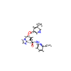 Cc1cncc(Oc2cc(C(=O)Nc3cccc(C)n3)c3nccn3c2)c1